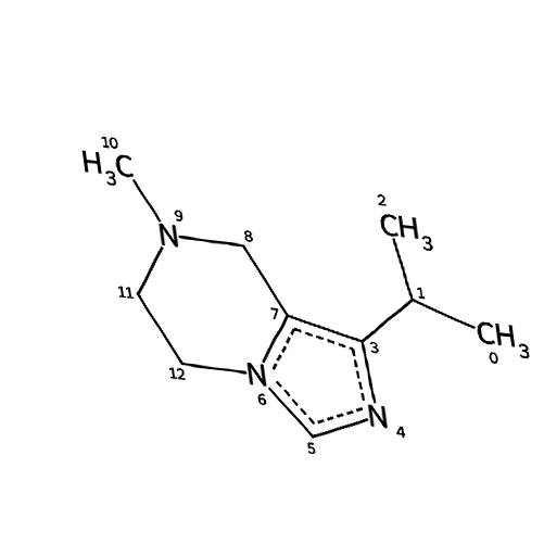 CC(C)c1ncn2c1CN(C)CC2